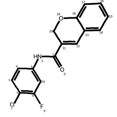 O=C(Nc1ccc(Cl)c(F)c1)C1=Cc2ccccc2OC1